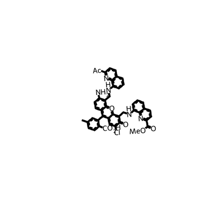 COC(=O)c1ccc2cccc(NCc3c4oc5c(CNc6cccc7ccc(C(C)=O)nc67)c(N)ccc5c(-c5cc(C)ccc5C(=O)O)c-4cc(Cl)c3=O)c2n1